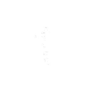 COC(=O)C1=C(CN2CCN3C(=O)N(C(C)(C)c4ccc(-c5ccc(C(=O)O)cc5)cc4)CC3C2)NC(c2nccs2)=N[C@H]1c1ccc(F)cc1Cl